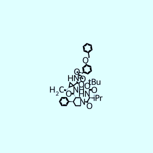 C=C[C@@H]1C[C@]1(NC(=O)[C@@H]1CN(C(=O)[C@@H](NC(=O)OC(C)(C)C)C(C)C)CC[C@H]1c1ccccc1)C(=O)NS(=O)(=O)c1cccc(OCc2ccccc2)c1